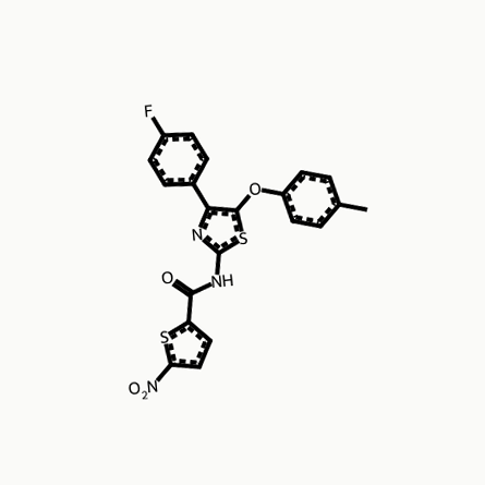 Cc1ccc(Oc2sc(NC(=O)c3ccc([N+](=O)[O-])s3)nc2-c2ccc(F)cc2)cc1